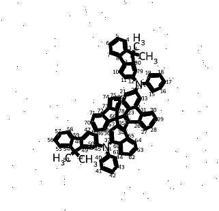 CC1(C)c2ccccc2-c2ccc(N(c3ccccc3)c3ccc4c5c(c6ccccc6c4c3)-c3c(cc(N(c4ccccc4)c4ccc6c(c4)C(C)(C)c4ccccc4-6)c4ccccc34)C53c4ccccc4-c4ccccc43)cc21